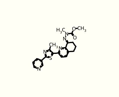 COC(=O)N(C)/N=C1\CCCc2ccc(-c3sc(-c4cccnc4)nc3C)nc21